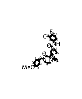 COc1ccc(CN2CCCn3c(c4n(c3=O)CCN(C(=O)Nc3ccc(F)c(Cl)c3)C4)C2=O)cc1